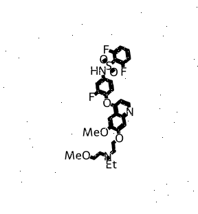 CCN(CCOC)CCOc1cc2nccc(Oc3ccc(NS(=O)(=O)c4c(F)cccc4F)cc3F)c2cc1OC